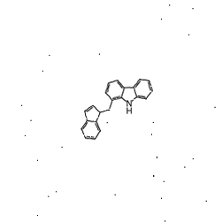 C1=CC(Cc2cccc3c2[nH]c2ccccc23)c2ccccc21